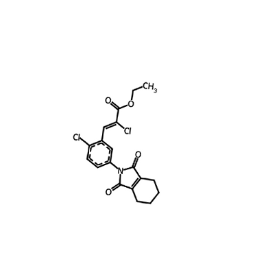 CCOC(=O)C(Cl)=Cc1cc(N2C(=O)C3=C(CCCC3)C2=O)ccc1Cl